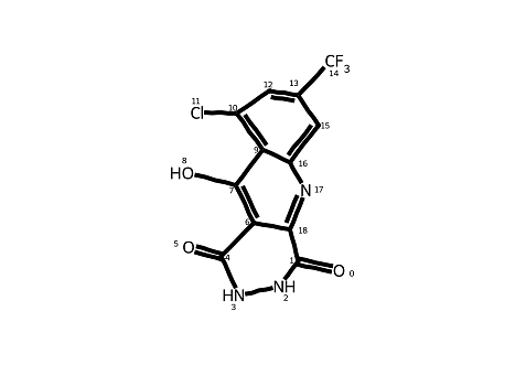 O=c1[nH][nH]c(=O)c2c(O)c3c(Cl)cc(C(F)(F)F)cc3nc12